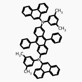 Cc1cc(C)cc(N(c2ccc3c(-c4ccccc4)c4cc(N(c5cc(C)cc(C)c5)c5cc6ccccc6c6ccccc56)ccc4c(-c4ccccc4)c3c2)c2cc3ccccc3c3ccccc23)c1